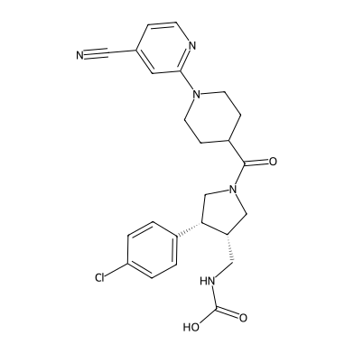 N#Cc1ccnc(N2CCC(C(=O)N3C[C@H](CNC(=O)O)[C@H](c4ccc(Cl)cc4)C3)CC2)c1